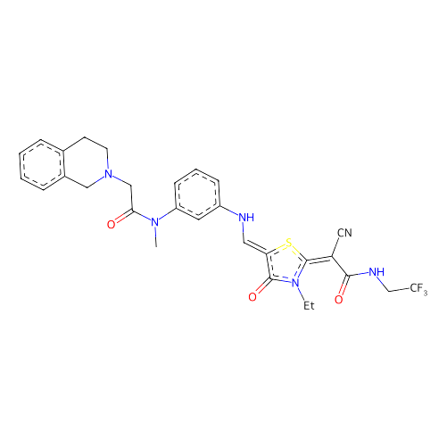 CCn1c(=C(C#N)C(=O)NCC(F)(F)F)sc(=CNc2cccc(N(C)C(=O)CN3CCc4ccccc4C3)c2)c1=O